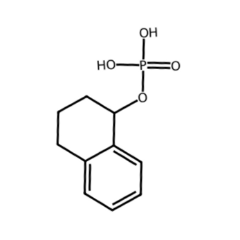 O=P(O)(O)OC1CCCc2ccccc21